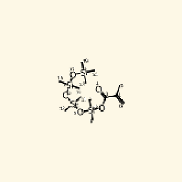 C=C(C)C(=O)O[Si](C)(C)O[Si](C)(C)O[Si](C)(C)O[Si](C)(C)C